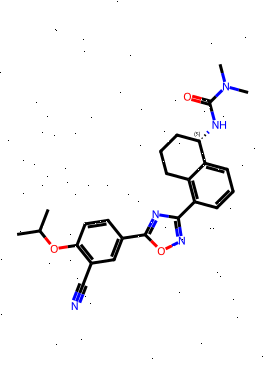 CC(C)Oc1ccc(-c2nc(-c3cccc4c3CCC[C@@H]4NC(=O)N(C)C)no2)cc1C#N